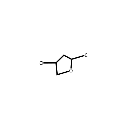 ClC1COC(Cl)C1